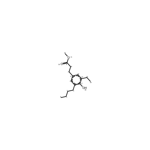 CCCCc1cc(CCC(=O)OC)cc(CC)c1O